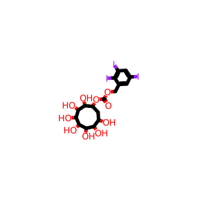 O=C(OCc1cc(I)cc(I)c1I)OC1CC(O)C(O)C(O)C(O)C(O)C(O)C1O